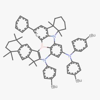 CC(C)(C)c1ccc(N2C3=C(B4c5cc(-c6ccccc6)cc6c5N(c5cc(N(c7ccc(C(C)(C)C)cc7)c7ccc(C(C)(C)C)cc7)cc2c54)C2(C)CCCCC62C)c2cc4c(cc2C3(C)C)C(C)(C)CCC4(C)C)cc1